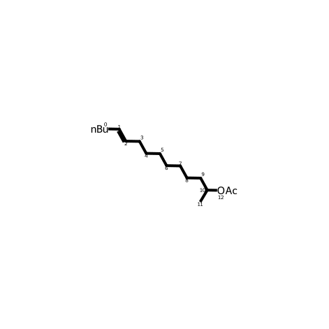 CCCCC=CCCCCCCCC(C)OC(C)=O